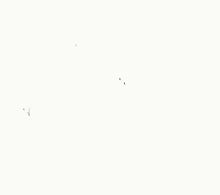 N#Cc1ccc2c(c1)C1CN(CCc3ccc(Br)cc3)CC1CO2